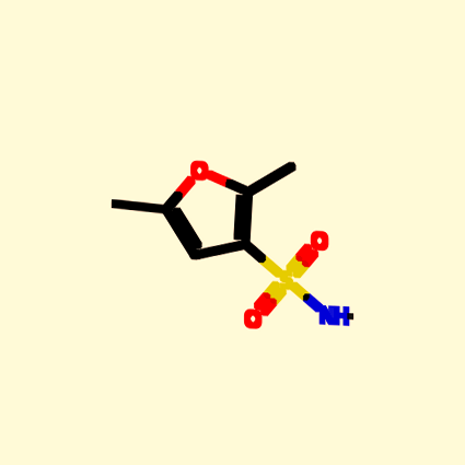 Cc1cc(S([NH])(=O)=O)c(C)o1